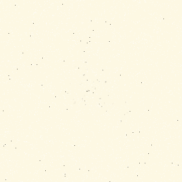 C[C@@H]1Cc2c([nH]c3ccccc23)[C@@H](c2ccc(O)cn2)N1C1CC2CC1C2